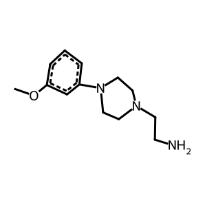 COc1cccc(N2CCN(CCN)CC2)c1